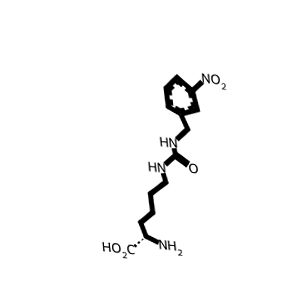 N[C@@H](CCCCNC(=O)NCc1cccc([N+](=O)[O-])c1)C(=O)O